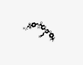 CCS(=O)(=O)c1ccc(CNC(=O)c2ccc(N3CC(Oc4ccc(C(F)(F)F)cc4)C[C@H]3CCC#N)nc2)cc1